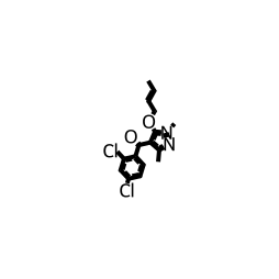 C/C=C/COc1c(C(=O)c2ccc(Cl)cc2Cl)c(C)nn1C